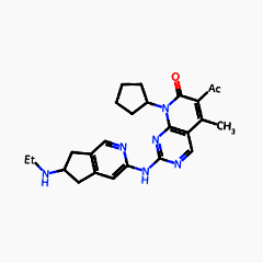 CCNC1Cc2cnc(Nc3ncc4c(C)c(C(C)=O)c(=O)n(C5CCCC5)c4n3)cc2C1